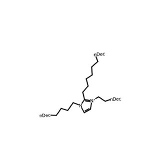 CCCCCCCCCCCCCCCCc1n(CCCCCCCCCCCCCC)cc[n+]1CCCCCCCCCCCC